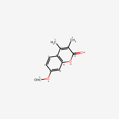 Cc1c(C)c2ccc(O[C]=O)cc2oc1=O